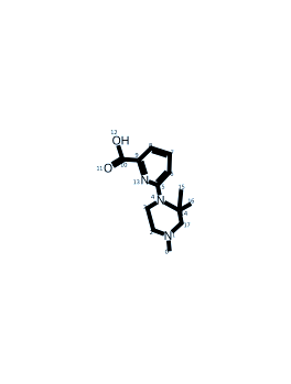 CN1CCN(c2cccc(C(=O)O)n2)C(C)(C)C1